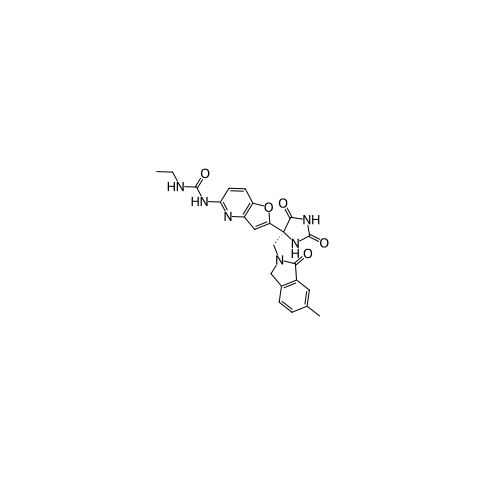 CCNC(=O)Nc1ccc2oc([C@]3(CN4Cc5ccc(C)cc5C4=O)NC(=O)NC3=O)cc2n1